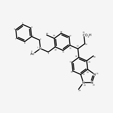 CC(=O)N(Cc1ccccc1)Cc1cc(C(CC(=O)O)c2ccc3c(nnn3C)c2C)ccc1C